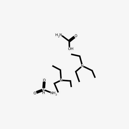 CCN(CC)CC.CCN(CC)CC.NC(=O)O.N[SH](=O)=O